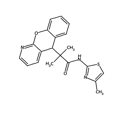 Cc1csc(NC(=O)C(C)(C)C2c3ccccc3Oc3ncccc32)n1